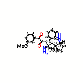 COc1cccc(C(=O)C(=O)CC(N)(C(=O)O)C2c3ccccc3N[C@@H]3CCC[C@H]23)c1